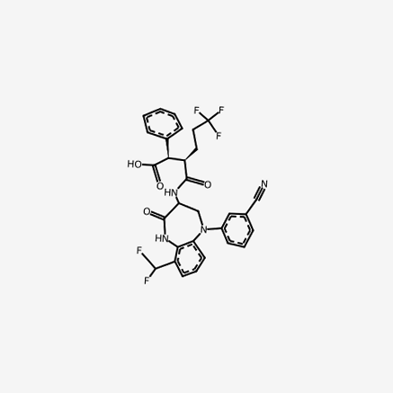 N#Cc1cccc(N2CC(NC(=O)[C@H](CCC(F)(F)F)[C@@H](C(=O)O)c3ccccc3)C(=O)Nc3c(C(F)F)cccc32)c1